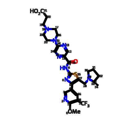 COc1ncc(-c2nc(NC(=O)c3cnc(N4CCN(CCC(=O)O)CC4)cn3)sc2CN2CCC[C@H]2C)cc1C(F)(F)F